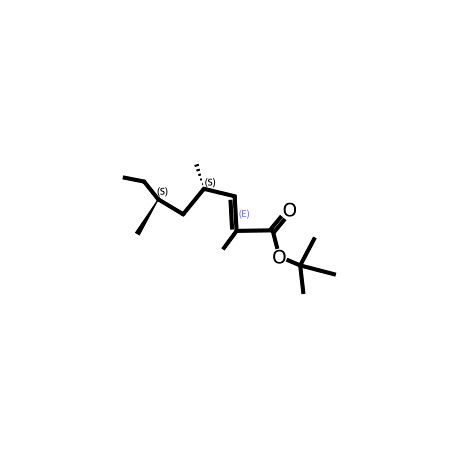 CC[C@H](C)C[C@H](C)/C=C(\C)C(=O)OC(C)(C)C